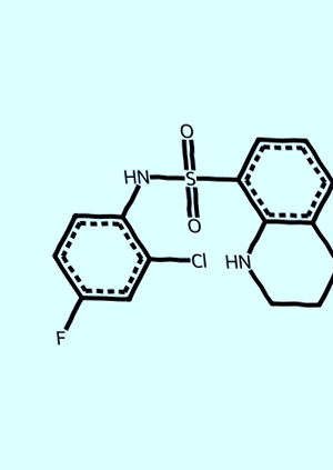 O=S(=O)(Nc1ccc(F)cc1Cl)c1cccc2c1NCCC2